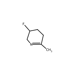 CC1=NCC(F)CC1